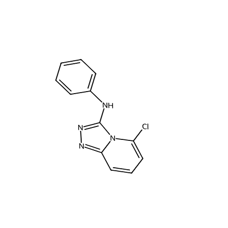 Clc1cccc2nnc(Nc3ccccc3)n12